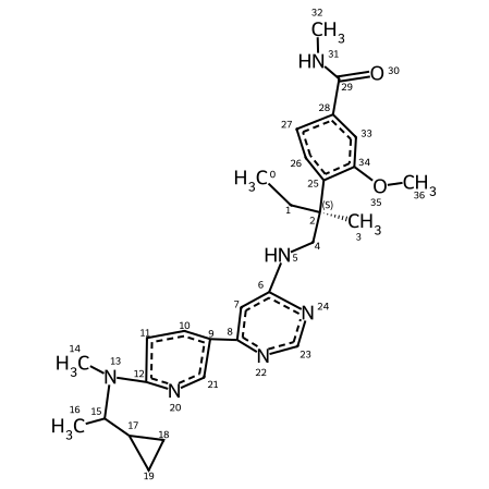 CC[C@](C)(CNc1cc(-c2ccc(N(C)C(C)C3CC3)nc2)ncn1)c1ccc(C(=O)NC)cc1OC